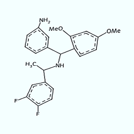 COc1ccc(C(NC(C)c2ccc(F)c(F)c2)c2cccc(N)c2)c(OC)c1